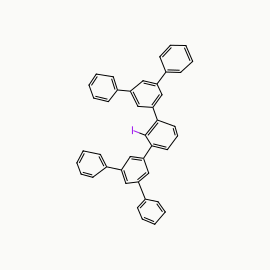 Ic1c(-c2cc(-c3ccccc3)cc(-c3ccccc3)c2)cccc1-c1cc(-c2ccccc2)cc(-c2ccccc2)c1